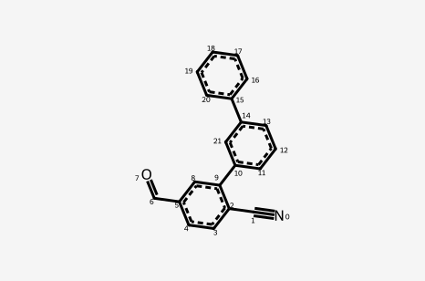 N#Cc1ccc(C=O)cc1-c1cccc(-c2ccccc2)c1